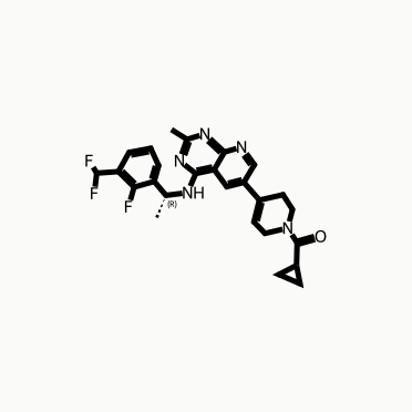 Cc1nc(N[C@H](C)c2cccc(C(F)F)c2F)c2cc(C3=CCN(C(=O)C4CC4)CC3)cnc2n1